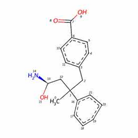 CC(Cc1ccc(C(=O)O)cc1)(C[C@H](N)O)c1ccccc1